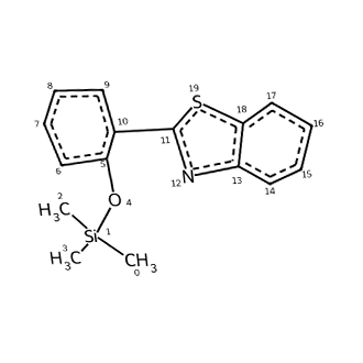 C[Si](C)(C)Oc1ccccc1-c1nc2ccccc2s1